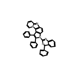 c1ccc(-c2nc(-n3c(-c4ccccc4)c(-c4ccccc4)c4c3ccc3nc5ccccn5c34)nc3ccccc23)cc1